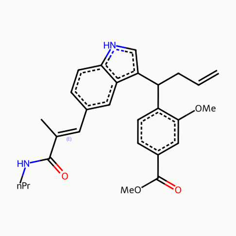 C=CCC(c1ccc(C(=O)OC)cc1OC)c1c[nH]c2ccc(/C=C(\C)C(=O)NCCC)cc12